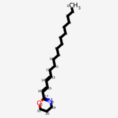 CCCCCCCCCCCCCC=CC=CC1=NCCCO1